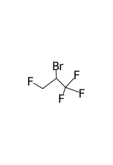 FCC(Br)C(F)(F)F